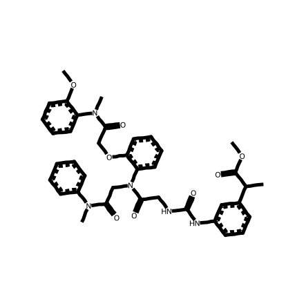 COC(=O)C(C)c1cccc(NC(=O)NCC(=O)N(CC(=O)N(C)c2ccccc2)c2ccccc2OCC(=O)N(C)c2ccccc2OC)c1